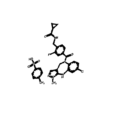 Cc1ccc(S(=O)(=O)O)cc1.Cn1ncc2c1Nc1cc(Cl)ccc1N(C(=O)c1ccc(CNC(=O)C3CC3)c(F)c1)C2